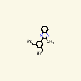 Cc1nc2ccccc2nc1-c1cc(CC(C)C)cc(CC(C)C)c1